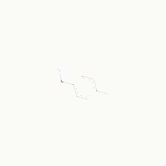 CC(C)c1ccc(C(N)=O)cc1.O